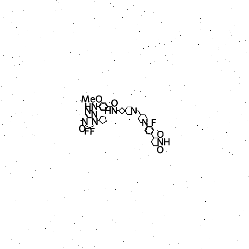 COc1cc(C(=O)NC2CC3(CCN(CC4CCN(c5ccc(C6CCC(=O)NC6=O)cc5F)CC4)CC3)C2)ccc1Nc1ncc2c(n1)N(C1CCCC1)CC(F)(F)C(=O)N2C